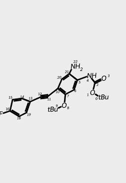 CC(C)(C)OC(=O)Nc1cc(OC(C)(C)C)c(C#Cc2ccc(F)cc2)cc1N